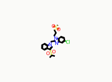 CC(C)S(=O)(=O)c1cn(Cc2nc3cc(Cl)ccc3n2CCCS(C)(=O)=O)c2ccccc12